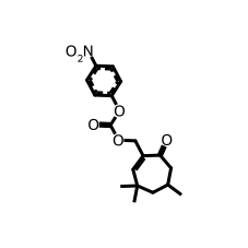 CC1CC(=O)C(COC(=O)Oc2ccc([N+](=O)[O-])cc2)=CC(C)(C)C1